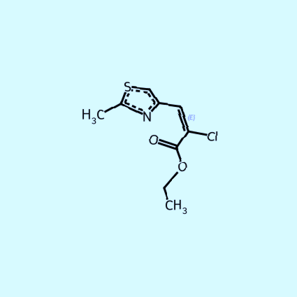 CCOC(=O)/C(Cl)=C\c1csc(C)n1